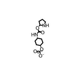 O=C(N[C@H]1CC[C@H](O[N+](=O)[O-])CC1)OC1CCCN1